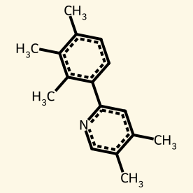 Cc1cnc(-c2ccc(C)c(C)c2C)cc1C